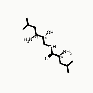 CC(C)C[C@H](N)C(=O)NC[C@@H](O)[C@@H](N)CC(C)C